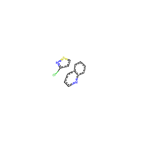 Clc1ccsn1.c1ccc2ncccc2c1